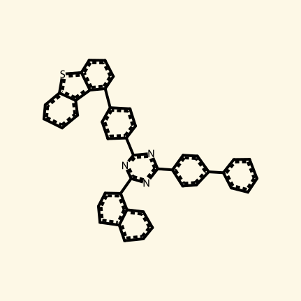 c1ccc(-c2ccc(-c3nc(-c4ccc(-c5cccc6sc7ccccc7c56)cc4)nc(-c4cccc5ccccc45)n3)cc2)cc1